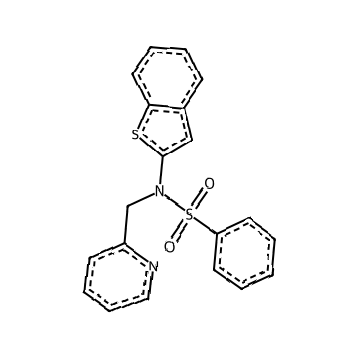 O=S(=O)(c1ccccc1)N(Cc1ccccn1)c1cc2ccccc2s1